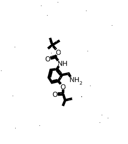 CC(C)C(=O)Oc1cccc(NC(=O)OC(C)(C)C)c1CN